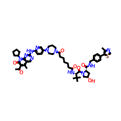 CC(=O)c1c(C)c2cnc(Nc3ccc(N4CCCN(C(=O)CCCCCC(=O)N[C@H](C(=O)N5C[C@H](O)C[C@H]5C(=O)NCc5ccc(-c6scnc6C)cc5)C(C)(C)C)CC4)cn3)nc2n(C2CCCC2)c1=O